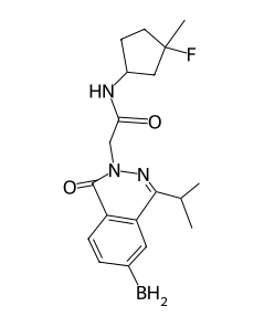 Bc1ccc2c(=O)n(CC(=O)NC3CCC(C)(F)C3)nc(C(C)C)c2c1